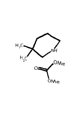 CC1(C)CCCNC1.COC(=O)OC